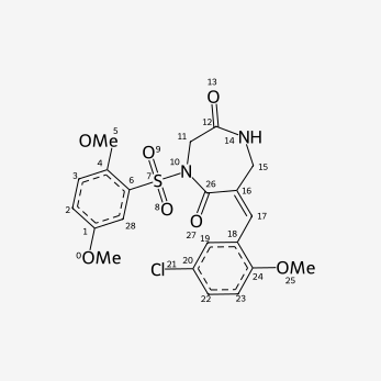 COc1ccc(OC)c(S(=O)(=O)N2CC(=O)NCC(=Cc3cc(Cl)ccc3OC)C2=O)c1